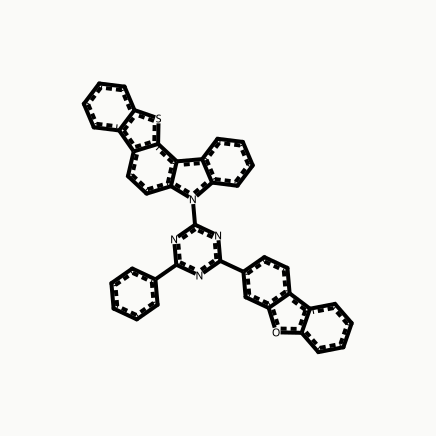 c1ccc(-c2nc(-c3ccc4c(c3)oc3ccccc34)nc(-n3c4ccccc4c4c5sc6ccccc6c5ccc43)n2)cc1